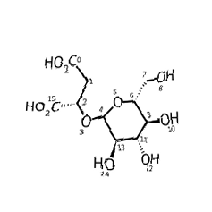 O=C(O)C[C@H](OC1O[C@H](CO)[C@@H](O)[C@H](O)[C@H]1O)C(=O)O